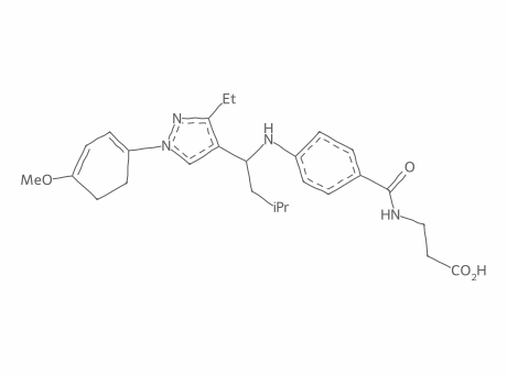 CCc1nn(C2=CC=C(OC)CC2)cc1C(CC(C)C)Nc1ccc(C(=O)NCCC(=O)O)cc1